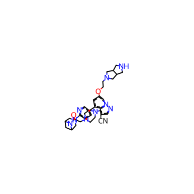 CN1CCN(CC(=O)N2C3CC2CN(c2ccc(-c4cc(OCCN5CC6CNCC6C5)cn5ncc(C#N)c45)cn2)C3)CC1